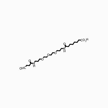 O=CCCC(=O)NCCCOCCOCCOCCCNC(=O)CCCCCCC(=O)O